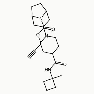 C#CCOC(=O)N1C2CCC1CC(N1CCC(C(=O)NC3(C)CCC3)CC1)C2